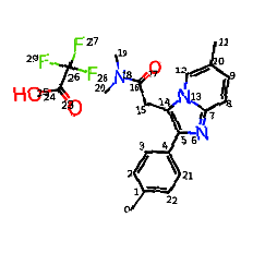 Cc1ccc(-c2nc3ccc(C)cn3c2CC(=O)N(C)C)cc1.O=C(O)C(F)(F)F